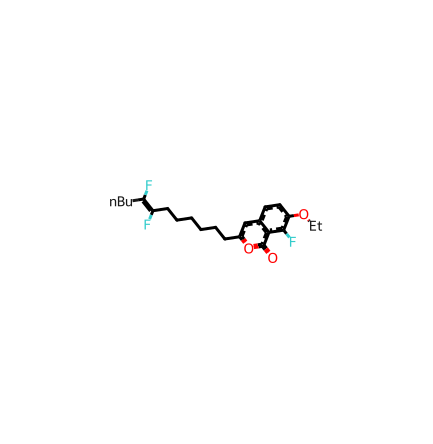 CCCC/C(F)=C(\F)CCCCCCc1cc2ccc(OCC)c(F)c2c(=O)o1